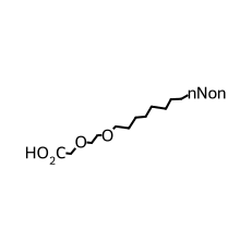 CCCCCCCCCCCCCCCCCOCCOCC(=O)O